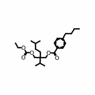 CCCCc1ccc(C(=O)OCC(CCC(C)C)(COC(=O)OCC)C(C)C)cc1